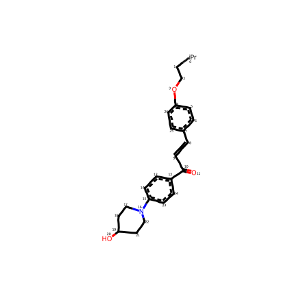 CC(C)CCOc1ccc(C=CC(=O)c2ccc(N3CCC(O)CC3)cc2)cc1